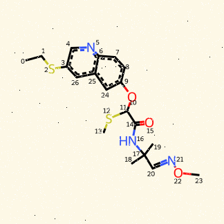 CCSc1cnc2ccc(OC(SC)C(=O)NC(C)(C)/C=N/OC)cc2c1